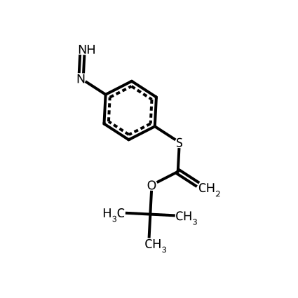 C=C(OC(C)(C)C)Sc1ccc(N=N)cc1